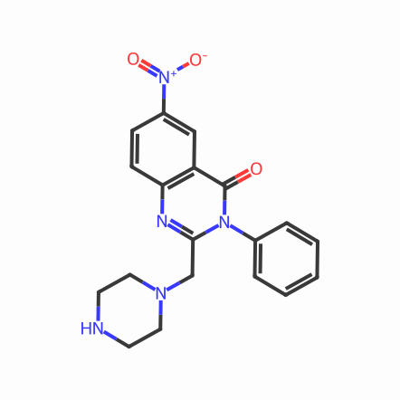 O=c1c2cc([N+](=O)[O-])ccc2nc(CN2CCNCC2)n1-c1ccccc1